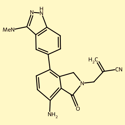 C=C(C#N)CN1Cc2c(-c3ccc4[nH]nc(NC)c4c3)ccc(N)c2C1=O